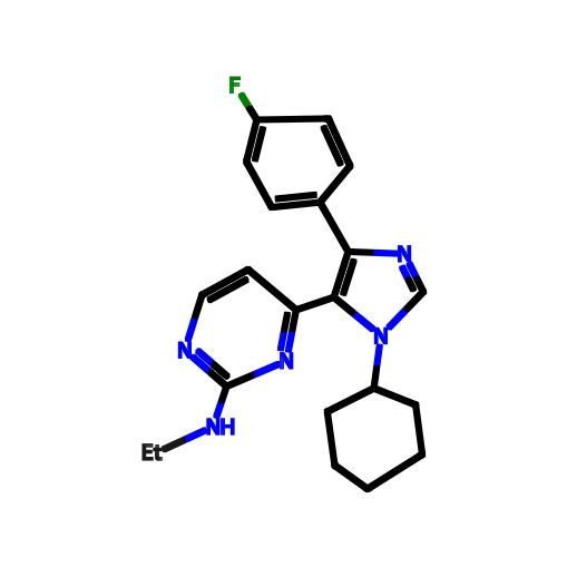 CCNc1nccc(-c2c(-c3ccc(F)cc3)ncn2C2CCCCC2)n1